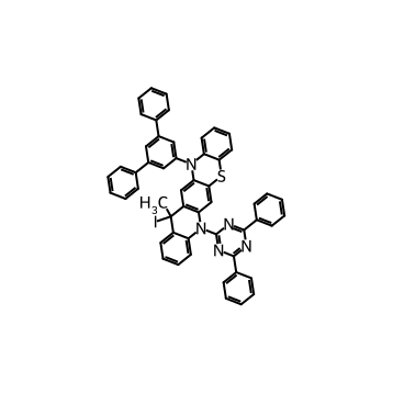 CC1(I)c2ccccc2N(c2nc(-c3ccccc3)nc(-c3ccccc3)n2)c2cc3c(cc21)N(c1cc(-c2ccccc2)cc(-c2ccccc2)c1)c1ccccc1S3